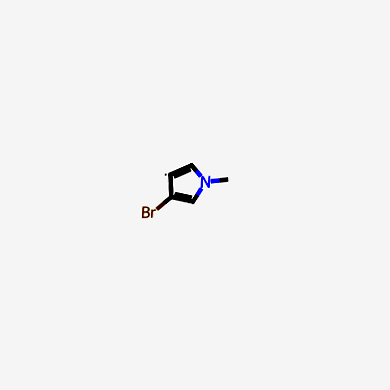 Cn1c[c]c(Br)c1